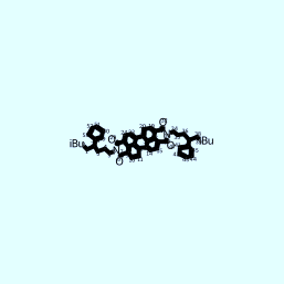 CCC(C)CC(CCCN1C(=O)c2ccc3c4ccc5c6c(ccc(c7ccc(c2c37)C1=O)c64)C(=O)N(CCCC(CC(C)CC)c1ccccc1)C5=O)c1ccccc1